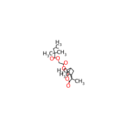 CCC(C)(C)C(=O)OCC(=O)OC1C2OC(=O)C3(C)C2CC1C3(C)C